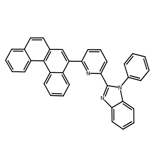 c1ccc(-n2c(-c3cccc(-c4cc5ccc6ccccc6c5c5ccccc45)n3)nc3ccccc32)cc1